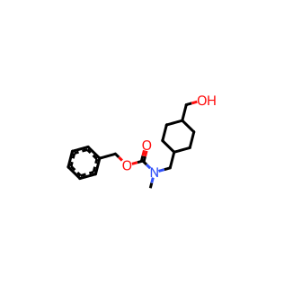 CN(CC1CCC(CO)CC1)C(=O)OCc1ccccc1